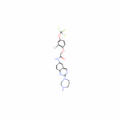 CN1CCCN(c2ncc3cc(NC(=O)COc4ccc(OC(F)(F)F)cc4Cl)ccc3n2)CC1